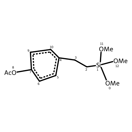 CO[Si](CCc1ccc(OC(C)=O)cc1)(OC)OC